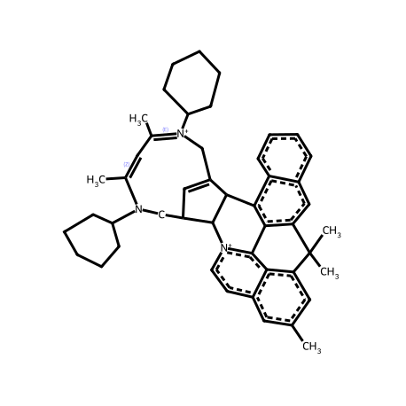 C/C1=C/C(C)=[N+](/C2CCCCC2)CC2=CC(CN1C1CCCCC1)C1C2c2c3c(cc4ccccc24)C(C)(C)c2cc(C)cc4cc[n+]1c-3c24